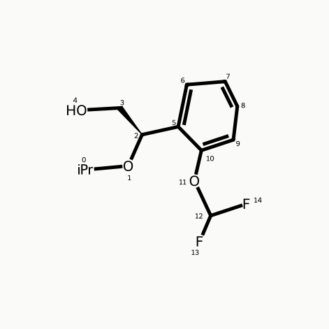 CC(C)O[C@@H](CO)c1ccccc1OC(F)F